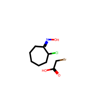 O=C(O)CBr.ON=C1CCCCCC1Cl